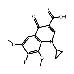 COc1cc2c(=O)c(C(=O)O)cn(C3CC3)c2c(OC)c1F